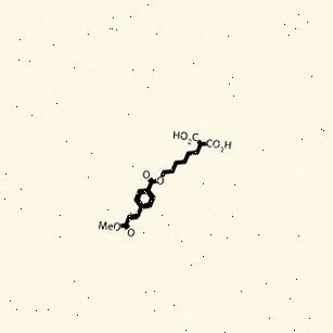 COC(=O)/C=C/c1ccc(C(=O)OCCCCCCC(C(=O)O)C(=O)O)cc1